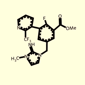 COC(=O)c1cc(Cn2ccn(C)c2=N)cc(-c2cccnc2C(F)(F)F)c1F